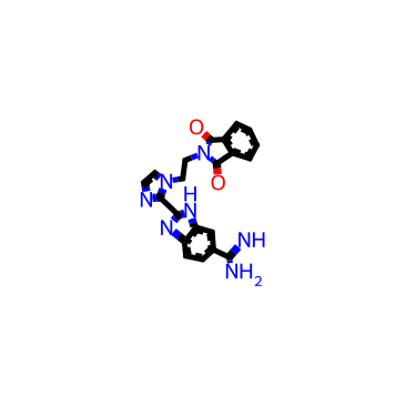 N=C(N)c1ccc2nc(-c3nccn3CCN3C(=O)c4ccccc4C3=O)[nH]c2c1